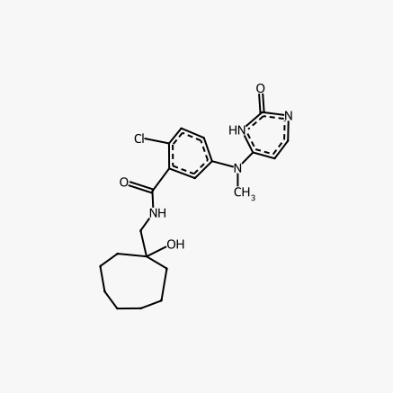 CN(c1ccc(Cl)c(C(=O)NCC2(O)CCCCCCC2)c1)c1ccnc(=O)[nH]1